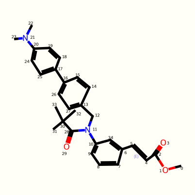 COC(=O)/C=C/c1cccc(N(Cc2ccc(-c3ccc(N(C)C)cc3)cc2)C(=O)C(C)(C)C)c1